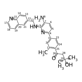 Cc1cc(-c2ccc(N)c(NCc3ccc4ncccc4c3)n2)ccc1C(=O)CC(C)(C)O